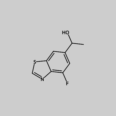 CC(O)c1cc(F)c2ncsc2c1